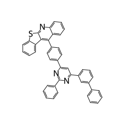 c1ccc(-c2cccc(-c3cc(-c4ccc(-c5c6ccccc6nc6sc7ccccc7c56)cc4)nc(-c4ccccc4)n3)c2)cc1